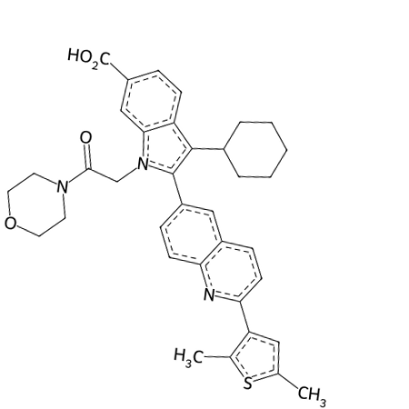 Cc1cc(-c2ccc3cc(-c4c(C5CCCCC5)c5ccc(C(=O)O)cc5n4CC(=O)N4CCOCC4)ccc3n2)c(C)s1